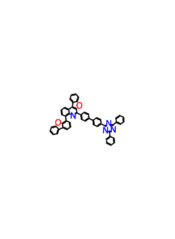 c1ccc(-c2nc(-c3ccccc3)nc(-c3ccc(-c4ccc(-c5nc6c(-c7cccc8c7oc7ccccc78)cccc6c6c5oc5ccccc56)cc4)cc3)n2)cc1